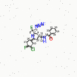 CC(F)(CN=[N+]=[N-])c1cc(C(C)(C)NCC(=O)c2ccccc2)cc(-c2ccc(F)c(Cl)c2)n1